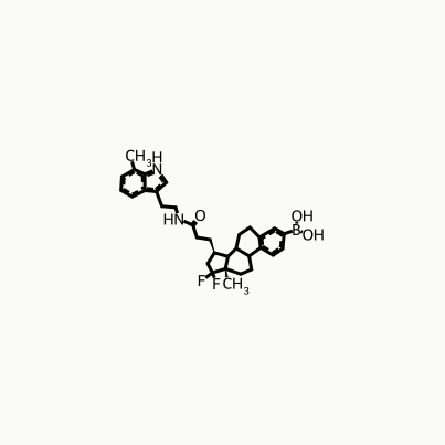 Cc1cccc2c(CCNC(=O)CC[C@@H]3CC(F)(F)[C@@]4(C)CCC5c6ccc(B(O)O)cc6CCC5C34)c[nH]c12